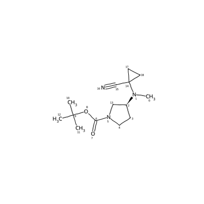 CN([C@H]1CCN(C(=O)OC(C)(C)C)C1)C1(C#N)CC1